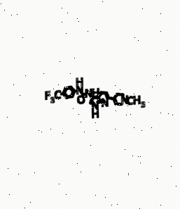 CN1CC=C(c2ccc3c(NC(=O)Nc4ccc(C(F)(F)F)cc4)c[nH]c3n2)CC1